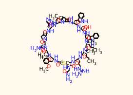 CCCC[C@H]1C(=O)N(C)[C@@H](CCCC)C(=O)N[C@@H](CCCNC(=N)N)C(=O)N[C@H](C(=O)NCC(N)=O)CSCC(=O)N[C@@H](Cc2ccccc2OC)C(=O)N(C)[C@@H](C)C(=O)N[C@@H](CC(N)=O)C(=O)N2CCC[C@H]2C(=O)N[C@@H](Cc2cnc[nH]2)C(=O)N[C@@H](CC(C)C)C(=O)N2CCC[C@H]2C(=O)N[C@@H](Cc2c[nH]c3ccccc23)C(=O)N[C@@H](CO)C(=O)N[C@@H](Cc2c[nH]c3ccccc23)C(=O)N1C